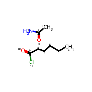 CC(N)=O.CCCCCC(=O)Cl